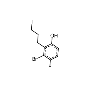 Oc1ccc(F)c(Br)c1CCCI